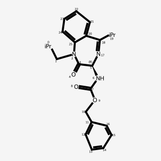 CC(C)CN1C(=O)[C@H](NC(=O)OCc2ccccc2)N=C(C(C)C)c2ccccc21